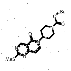 CSc1ncc2c(=O)n(C3CCN(C(=O)OC(C)(C)C)CC3)ccc2n1